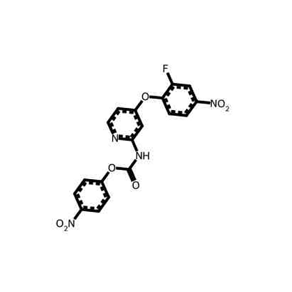 O=C(Nc1cc(Oc2ccc([N+](=O)[O-])cc2F)ccn1)Oc1ccc([N+](=O)[O-])cc1